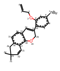 C=CCOc1cc(CCCC)ccc1C1=Cc2ccc3c(c2OC1)C=CC(C)(C)C3